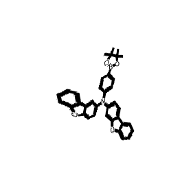 CC1(C)OB(c2ccc(N(c3ccc4c(c3)oc3ccccc34)c3ccc4oc5ccccc5c4c3)cc2)OC1(C)C